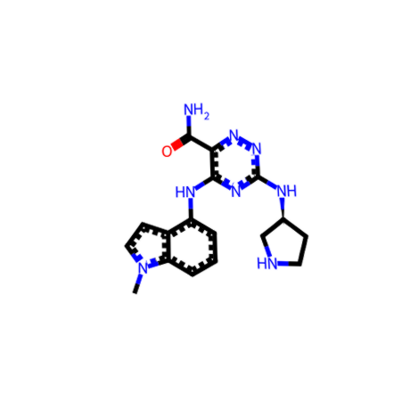 Cn1ccc2c(Nc3nc(N[C@H]4CCNC4)nnc3C(N)=O)cccc21